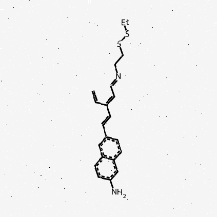 C=CC(/C=C/c1ccc2cc(N)ccc2c1)=C\C=N\CCSSCC